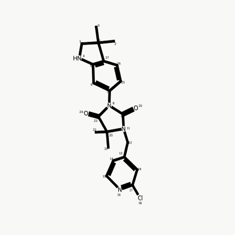 CC1(C)CNc2cc(N3C(=O)N(Cc4ccnc(Cl)c4)C(C)(C)C3=O)ccc21